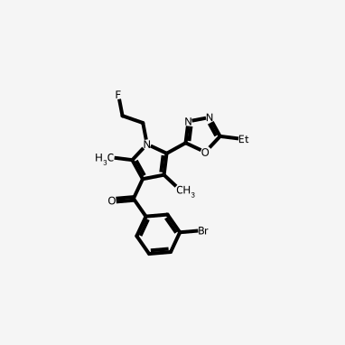 CCc1nnc(-c2c(C)c(C(=O)c3cccc(Br)c3)c(C)n2CCF)o1